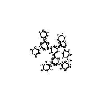 CC(C)c1ccc(-c2nc3ccccc3n2-c2cc(-c3nc(-c4ccccc4)nc(-c4ccccc4)n3)cc(-c3nc(-c4ccccc4)nc(-c4ccccc4)n3)c2)cc1